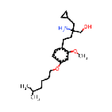 COc1cc(OCCCCC(C)C)ccc1CCC(N)(CO)CC1CC1